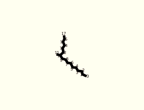 CCCCCCCCC[CH]C(C)CCCCCC